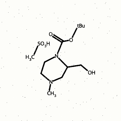 CN1CCN(C(=O)OC(C)(C)C)C(CO)C1.CS(=O)(=O)O